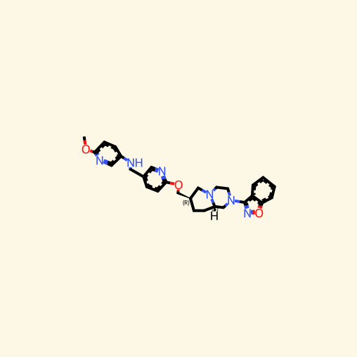 COc1ccc(NCc2ccc(OC[C@@H]3CC[C@H]4CN(c5noc6ccccc56)CCN4C3)nc2)cn1